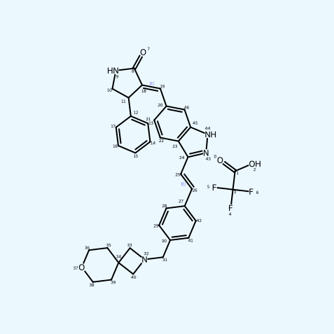 O=C(O)C(F)(F)F.O=C1NCC(c2ccccc2)/C1=C\c1ccc2c(/C=C/c3ccc(CN4CC5(CCOCC5)C4)cc3)n[nH]c2c1